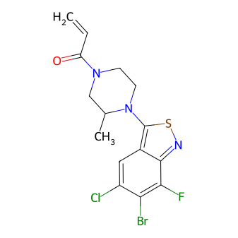 C=CC(=O)N1CCN(c2snc3c(F)c(Br)c(Cl)cc23)C(C)C1